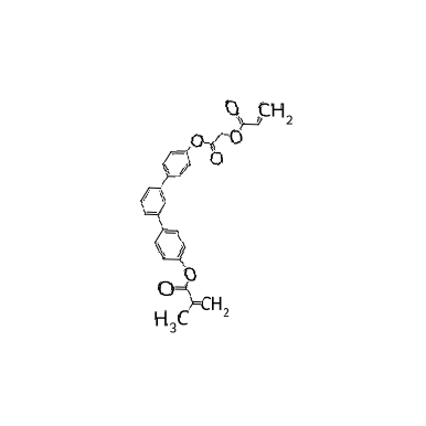 C=CC(=O)OCC(=O)Oc1ccc(-c2cccc(-c3ccc(OC(=O)C(=C)C)cc3)c2)cc1